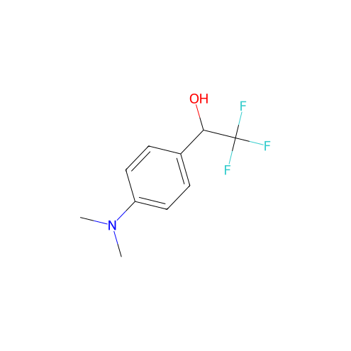 CN(C)c1ccc(C(O)C(F)(F)F)cc1